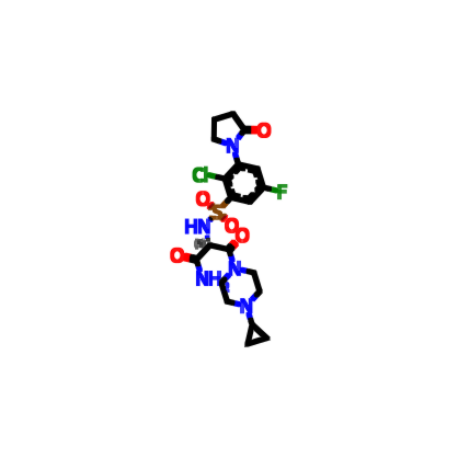 NC(=O)[C@H](NS(=O)(=O)c1cc(F)cc(N2CCCC2=O)c1Cl)C(=O)N1CCN(C2CC2)CC1